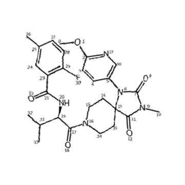 COc1ccc(N2C(=O)N(C)C(=O)C23CCN(C(=O)[C@H](NC(=O)c2cc(C)ccc2F)C(C)C)CC3)cn1